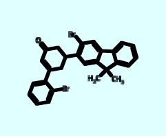 CC1(C)c2ccccc2-c2cc(Br)c(C3CC(=O)C=C(c4ccccc4Br)C3)cc21